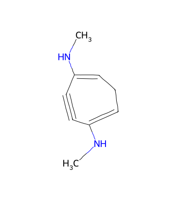 CNC1=CCC=C(NC)C#C1